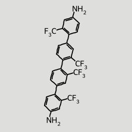 Nc1ccc(-c2ccc(-c3ccc(-c4ccc(N)cc4C(F)(F)F)cc3C(F)(F)F)c(C(F)(F)F)c2)c(C(F)(F)F)c1